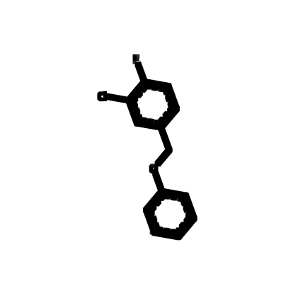 Fc1ccc(COc2c[c]ccc2)cc1Cl